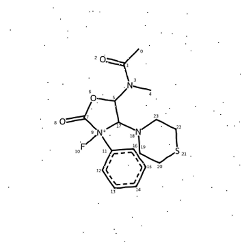 CC(=O)N(C)C1OC(=O)[N+](F)(c2ccccc2)C1N1CCSCC1